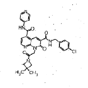 CC1(C)CN(C(=O)Cn2c(=O)c(C(=O)NCc3ccc(Cl)cc3)cc3c(C(=O)Nc4ccncc4)ccnc32)C1